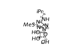 CSc1nc(NCCC(C)C)c2ncn([C@@H]3O[C@H](CO)C(O)C3O)c2n1